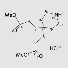 COC(=O)CCC1(CCC(=O)OC)CCNCC1.Cl